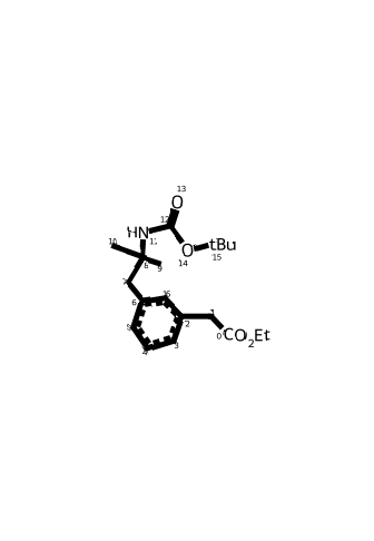 CCOC(=O)Cc1cccc(CC(C)(C)NC(=O)OC(C)(C)C)c1